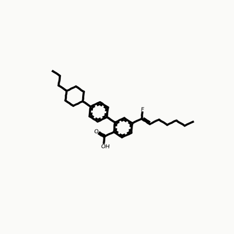 CCCCCC=C(F)c1ccc(C(=O)O)c(-c2ccc(C3CCC(CCC)CC3)cc2)c1